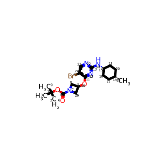 CC(C)(C)OC(=O)N1CC(Oc2nc(N[C@H]3CC[C@@H](C)CC3)ncc2Br)C1